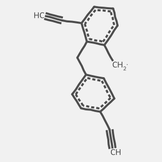 C#Cc1ccc(Cc2c([CH2])cccc2C#C)cc1